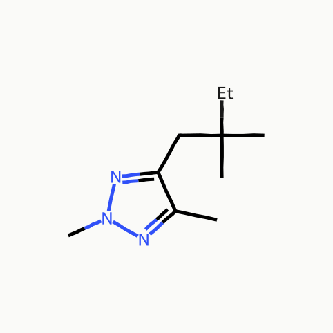 CCC(C)(C)Cc1nn(C)nc1C